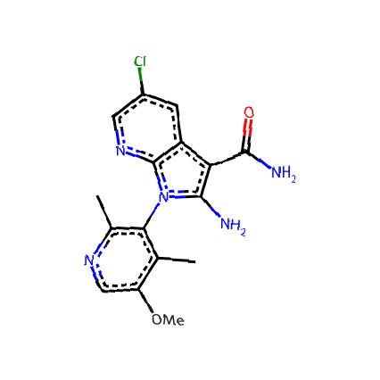 COc1cnc(C)c(-n2c(N)c(C(N)=O)c3cc(Cl)cnc32)c1C